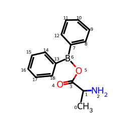 CC(N)C(=O)OB(c1ccccc1)c1ccccc1